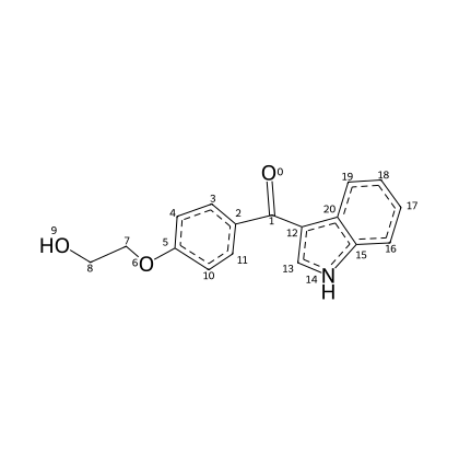 O=C(c1ccc(OCCO)cc1)c1c[nH]c2ccccc12